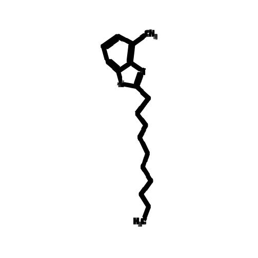 CCCCCCCCCCC1=Nc2c(C)cccc2[N]1